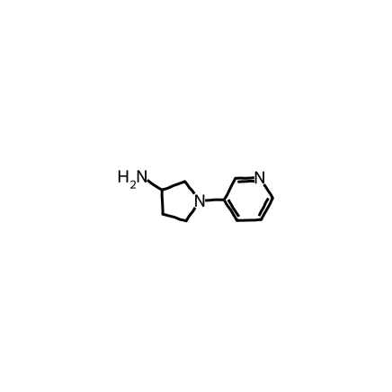 NC1CCN(c2cccnc2)C1